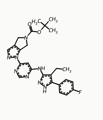 CCc1c(Nc2cc(-n3ncc4c3CN(C(=O)OC(C)(C)C)C4)ncn2)n[nH]c1-c1ccc(F)cc1